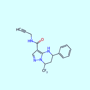 C#CCNC(=O)c1cnn2c1NC(c1ccccc1)CC2C(F)(F)F